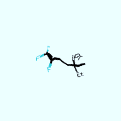 CCC(C)(CCC(F)=C(F)F)C(C)C